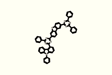 c1ccc(-c2nc(-c3ccccc3)nc(-c3ccc4sc5cc(-c6nc(-c7ccccc7)nc(-c7cccc8c7c7ccccc7n8-c7ccccc7)n6)ccc5c4c3)n2)cc1